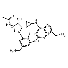 CC(=O)N[C@@H]1CN(c2cc(CN)cc(Nc3nc(NC4CC4)c4ncc(CN)n4n3)c2Cl)C[C@H]1O